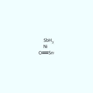 [Ni].[O]=[Sn].[SbH3]